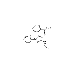 CCOc1nn(-c2ccccc2)c2c1cc(O)c1ccccc12